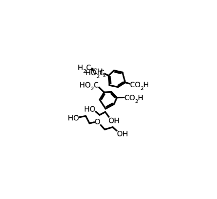 C=C.O=C(O)c1ccc(C(=O)O)cc1.O=C(O)c1cccc(C(=O)O)c1.OCCO.OCCOCCO